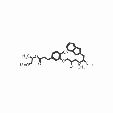 COCC(C)OC(=O)CCc1ccc(C#N)c(OC[C@H](O)CN(C)C(C)CC2Cc3ccccc3C2)c1